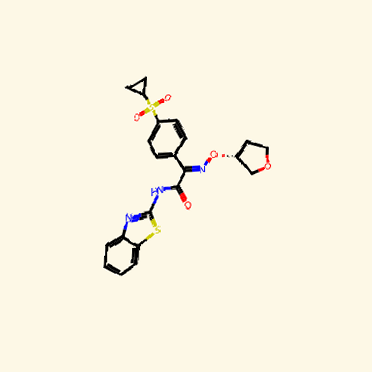 O=C(Nc1nc2ccccc2s1)/C(=N/O[C@@H]1CCOC1)c1ccc(S(=O)(=O)C2CC2)cc1